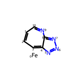 [Fe].c1ccc2nnnc-2nc1